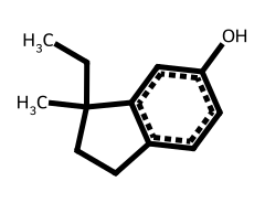 CCC1(C)CCc2ccc(O)cc21